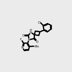 CCCCc1ccnc(F)c1N1C(=O)NC2(CC(c3ccccc3Cl)C2)C1=O